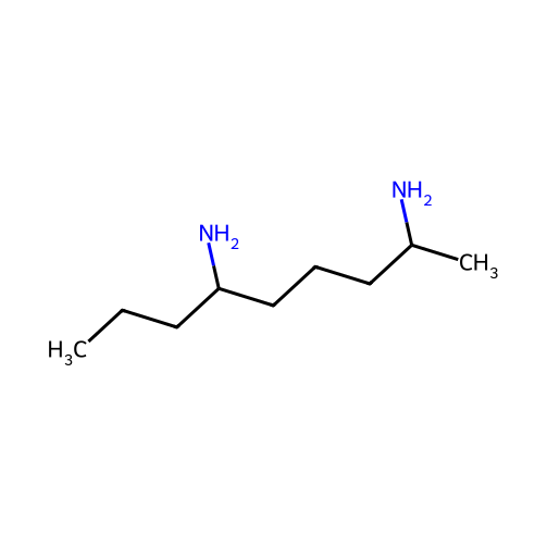 CCCC(N)CCCC(C)N